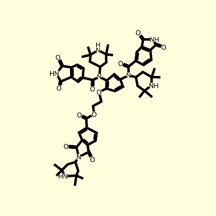 CC1(C)CC(N2C(=O)c3ccc(C(=O)OCCOc4ccc(N(C(=O)c5ccc6c(c5)C(=O)NC6=O)C5CC(C)(C)NC(C)(C)C5)cc4N(C(=O)c4ccc5c(c4)C(=O)NC5=O)C4CC(C)(C)NC(C)(C)C4)cc3C2=O)CC(C)(C)N1